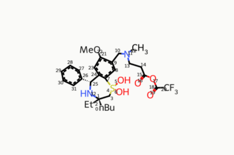 CCCC[C@]1(CC)CS(O)(O)c2cc(CN(C)CCC(=O)OC(=O)C(F)(F)F)c(OC)cc2[C@@H](c2ccccc2)N1